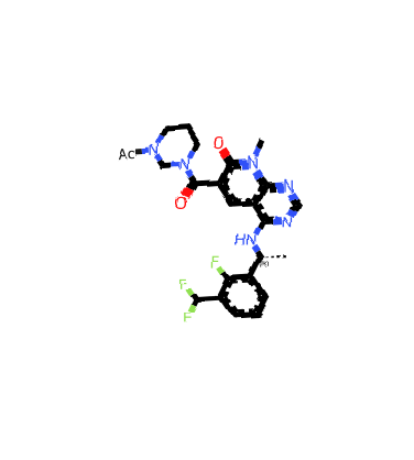 CC(=O)N1CCCN(C(=O)c2cc3c(N[C@H](C)c4cccc(C(F)F)c4F)ncnc3n(C)c2=O)C1